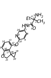 CCC(C)(N)C(=O)Nc1ccc(Oc2cccc3c2C2(CC2)CO3)nc1